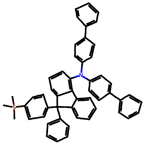 CS(C)(C)c1ccc(C2(c3ccccc3)c3ccccc3-c3c(N(c4ccc(-c5ccccc5)cc4)c4ccc(-c5ccccc5)cc4)cccc32)cc1